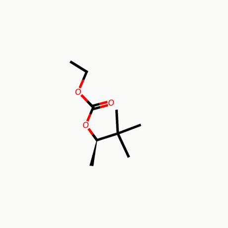 CCOC(=O)O[C@H](C)C(C)(C)C